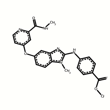 CNC(=O)c1cc(Oc2ccc3c(c2)nc(Nc2ccc(C(=O)OC)cc2)n3C)ccn1